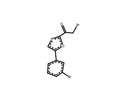 O=C(CBr)c1ncc(-c2cccc(Br)c2)o1